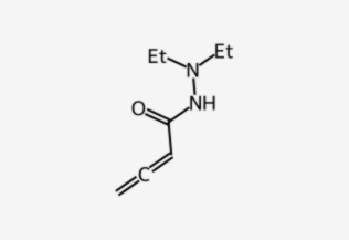 C=C=CC(=O)NN(CC)CC